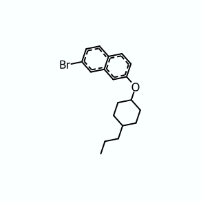 CCCC1CCC(Oc2ccc3ccc(Br)cc3c2)CC1